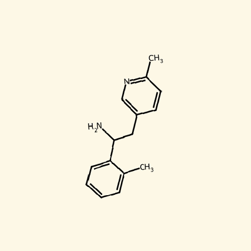 Cc1ccc(CC(N)c2ccccc2C)cn1